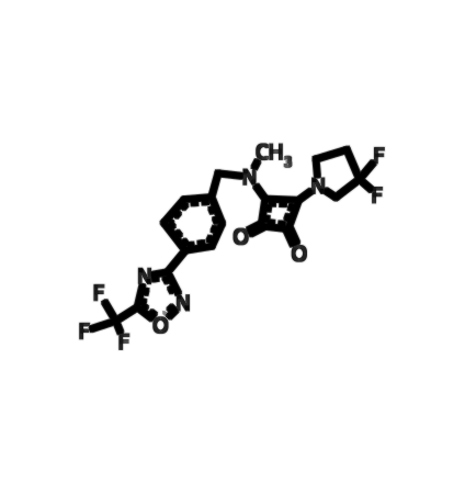 CN(Cc1ccc(-c2noc(C(F)(F)F)n2)cc1)c1c(N2CCC(F)(F)C2)c(=O)c1=O